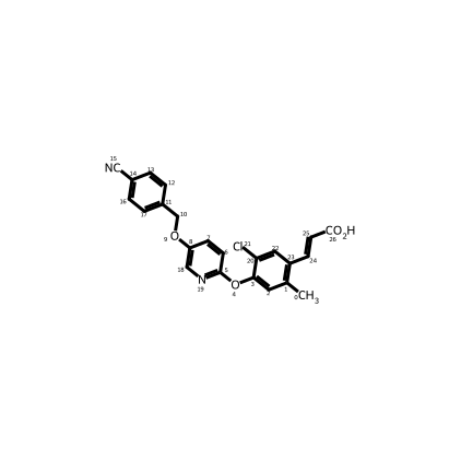 Cc1cc(Oc2ccc(OCc3ccc(C#N)cc3)cn2)c(Cl)cc1C=CC(=O)O